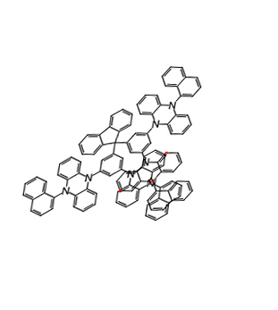 c1ccc2c(c1)-c1ccccc1C2(c1cc(N2c3ccccc3N(c3cccc4ccccc34)c3ccccc32)cc(N2c3ccccc3N(c3cccc4ccccc34)c3ccccc32)c1)c1cc(N2c3ccccc3N(c3cccc4ccccc34)c3ccccc32)cc(N2c3ccccc3N(c3cccc4ccccc34)c3ccccc32)c1